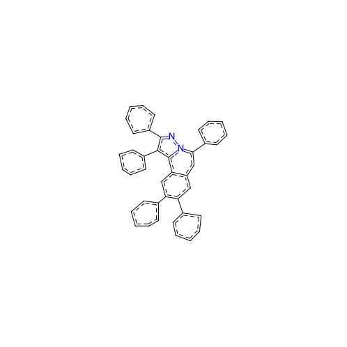 c1ccc(-c2cc3cc(-c4ccccc4)n4nc(-c5ccccc5)c(-c5ccccc5)c4c3cc2-c2ccccc2)cc1